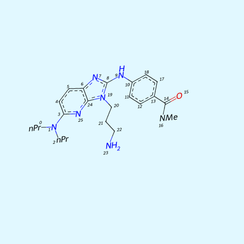 CCCN(CCC)c1ccc2nc(Nc3ccc(C(=O)NC)cc3)n(CCCN)c2n1